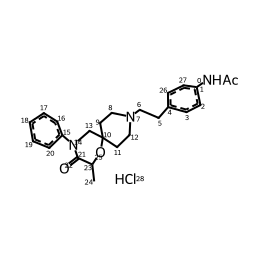 CC(=O)Nc1ccc(CCN2CCC3(CC2)CN(c2ccccc2)C(=O)C(C)O3)cc1.Cl